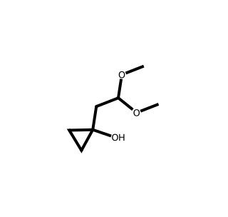 COC(CC1(O)CC1)OC